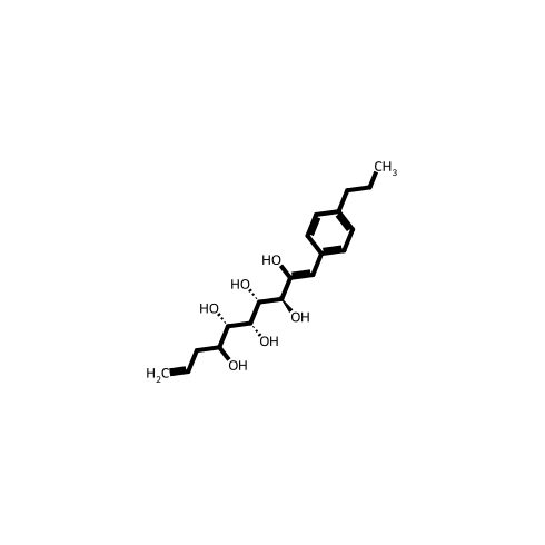 C=CCC(O)[C@H](O)[C@@H](O)[C@H](O)[C@H](O)C(O)=Cc1ccc(CCC)cc1